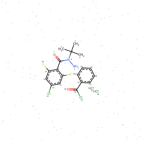 CC(C)(C)N(N)C(=O)c1c(F)cc(Cl)cc1F.Cl.Cl.O=C(Cl)c1ccccc1